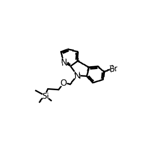 C[Si](C)(C)CCOCn1c2ccc(Br)cc2c2cccnc21